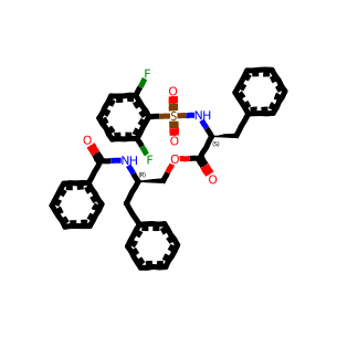 O=C(N[C@@H](COC(=O)[C@H](Cc1ccccc1)NS(=O)(=O)c1c(F)cccc1F)Cc1ccccc1)c1ccccc1